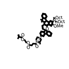 C=C(C)C(=O)OCCOC(=O)CCC(=O)N1CCN(c2ccc(C3(c4ccccc4)C=Cc4c5c(c6cc(N(CCCCCCCC)CCCCCCCC)c(OC)cc6c4O3)-c3ccccc3C5(C)C)cc2)CC1C